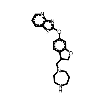 c1cnc2nc(Oc3ccc4c(c3)OCC4CN3CCCNCC3)sc2c1